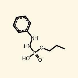 CCCOP(=O)(O)NNc1ccccc1